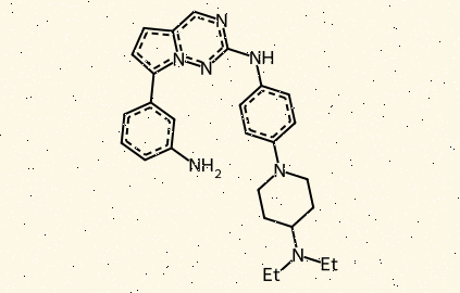 CCN(CC)C1CCN(c2ccc(Nc3ncc4ccc(-c5cccc(N)c5)n4n3)cc2)CC1